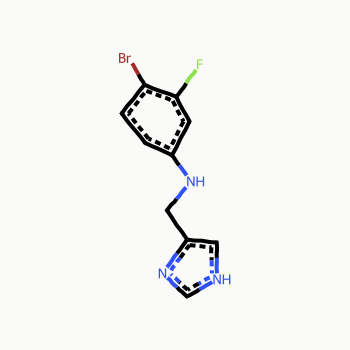 Fc1cc(NCc2c[nH]cn2)ccc1Br